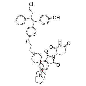 O=C1CCC(N2C(=O)c3ccc(N4C5CCC4CN(CC4CCN(CCOc6ccc(C(=C(CCCl)c7ccccc7)c7ccc(O)cc7)cc6)CC4)C5)cc3C2=O)C(=O)N1